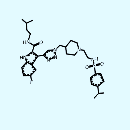 CC(C)CCNC(=O)c1[nH]c2ccc(F)cc2c1-c1cn(CC2CCN(CCNS(=O)(=O)c3ccc(C(C)C)cc3)CC2)nn1